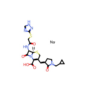 O=C(CSc1nc[nH]n1)N[C@@H]1C(=O)N2C(C(=O)O)=C(C=C3CCN(CC4CC4)C3=O)CS[C@H]12.[Na]